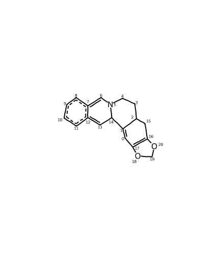 C1=C2C(CCN3C=c4ccccc4=CC23)CC2=C1OCO2